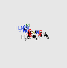 CC(C)(C)OC(=O)N1CC[C@@H](SC[C@H]2O[C@@H](n3cnc4c(N)nc(Cl)nc43)[C@@H]3OC(C)(C)O[C@@H]32)C1